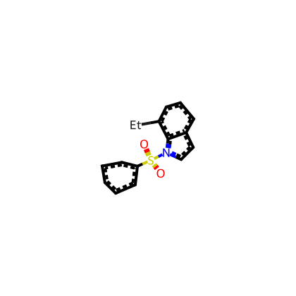 CCc1cccc2ccn(S(=O)(=O)c3ccccc3)c12